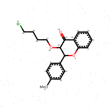 COc1ccc(C2Oc3ccccc3C(=O)C2OCCCCBr)cc1